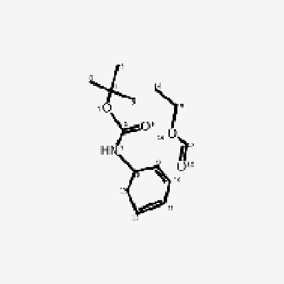 CC(C)(C)OC(=O)NC1C=CC=CC1.CCOC=O